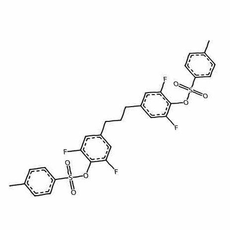 Cc1ccc(S(=O)(=O)Oc2c(F)cc(CCCc3cc(F)c(OS(=O)(=O)c4ccc(C)cc4)c(F)c3)cc2F)cc1